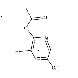 CC(=O)Oc1ncc(O)cc1C